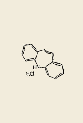 C1=Cc2ccccc2Nc2ccccc21.Cl